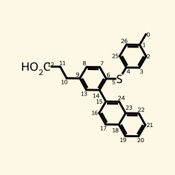 Cc1ccc(Sc2ccc(CCC(=O)O)cc2-c2ccc3ccccc3c2)cc1